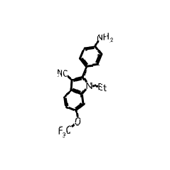 CCn1c(-c2ccc(N)cc2)c(C#N)c2ccc(OC(F)(F)F)cc21